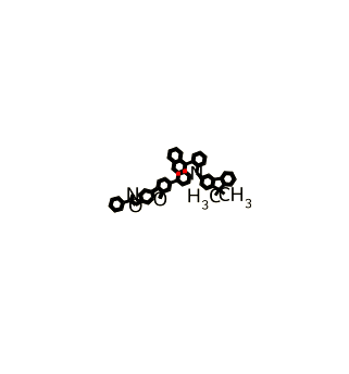 CC1(C)c2ccccc2-c2cc(N(c3ccc(-c4ccc5c(c4)oc4cc6oc(-c7ccccc7)nc6cc45)cc3)c3ccccc3-c3cccc4ccccc34)ccc21